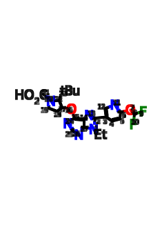 CCn1c(-c2ccc(OC(F)F)nc2)nc2c(OC3CCN(C(=O)O)C3C(C)(C)C)ncnc21